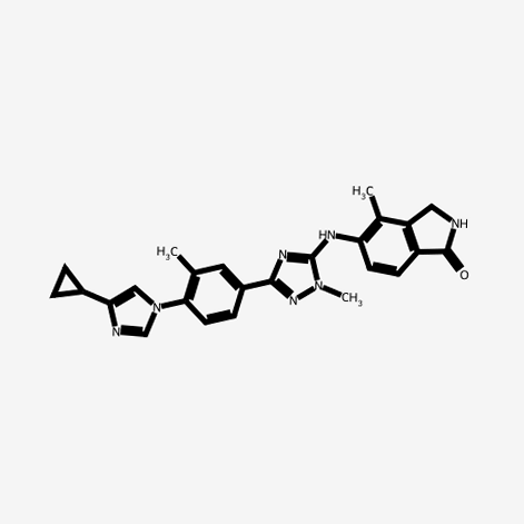 Cc1cc(-c2nc(Nc3ccc4c(c3C)CNC4=O)n(C)n2)ccc1-n1cnc(C2CC2)c1